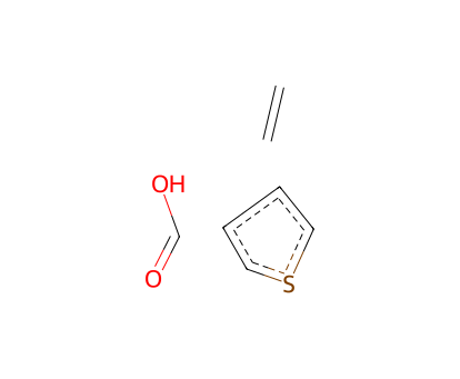 C=C.O=CO.c1ccsc1